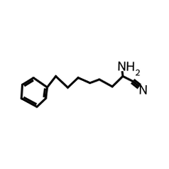 N#CC(N)CCCCCCc1ccccc1